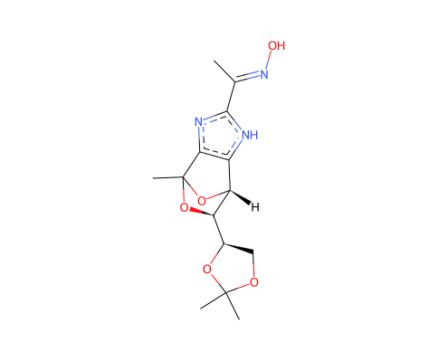 C/C(=N\O)c1nc2c([nH]1)[C@H]1OC2(C)O[C@@H]1[C@H]1COC(C)(C)O1